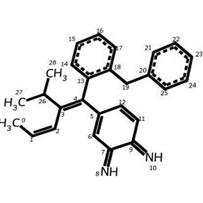 C/C=C\C(=C(/C1=CC(=N)C(=N)C=C1)c1ccccc1Cc1ccccc1)C(C)C